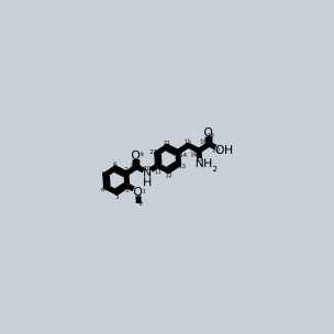 COc1ccccc1C(=O)Nc1ccc(CC(N)C(=O)O)cc1